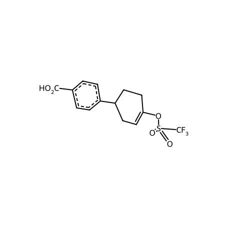 O=C(O)c1ccc(C2CC=C(OS(=O)(=O)C(F)(F)F)CC2)cc1